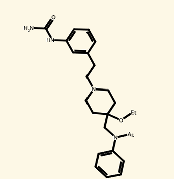 CCOC1(CN(C(C)=O)c2ccccc2)CCN(CCc2cccc(NC(N)=O)c2)CC1